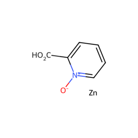 O=C(O)c1cccc[n+]1[O-].[Zn]